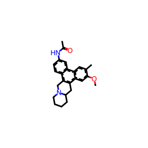 COc1cc2c3c(c4ccc(NC(C)=O)cc4c2cc1C)CN1CCCCC1C3